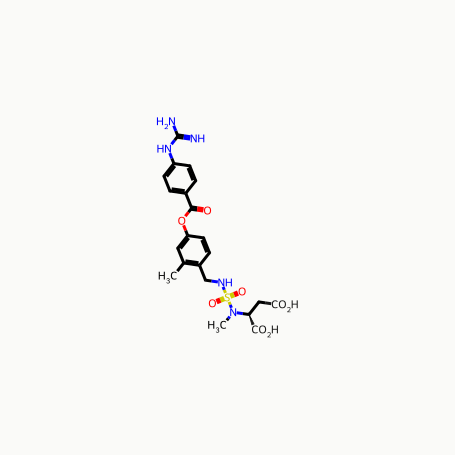 Cc1cc(OC(=O)c2ccc(NC(=N)N)cc2)ccc1CNS(=O)(=O)N(C)[C@@H](CC(=O)O)C(=O)O